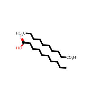 CCCCCCCCCC(=O)O.O=C(O)CCCCCCCCC(=O)O